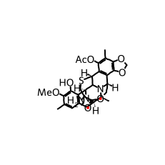 COc1c(C)cc2c(c1O)[C@H]1C3[C@@H]4SCC(N)C(=O)OC[C@@H](c5c6c(c(C)c(OC(C)=O)c54)OCO6)N3[C@@H](C)[C@@H](C2)N1C